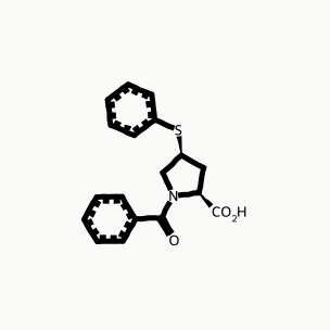 O=C(O)[C@@H]1C[C@H](Sc2ccccc2)CN1C(=O)c1ccccc1